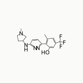 Cc1cc(C(F)(F)F)cc(O)c1-c1ccc(NC2CCN(C)C2)nn1